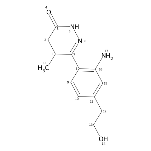 CC1CC(=O)NN=C1c1ccc(CCO)cc1N